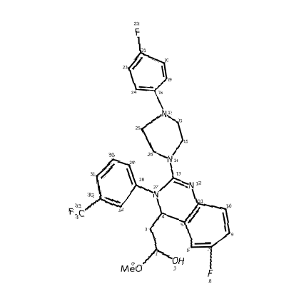 COC(O)CC1c2cc(F)ccc2N=C(N2CCN(c3ccc(F)cc3)CC2)N1c1cccc(C(F)(F)F)c1